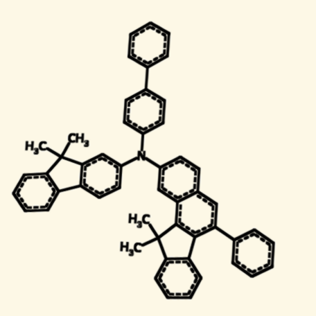 CC1(C)c2ccccc2-c2ccc(N(c3ccc(-c4ccccc4)cc3)c3ccc4cc(-c5ccccc5)c5c(c4c3)C(C)(C)c3ccccc3-5)cc21